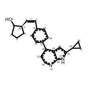 OC1CCC[C@@H]1/C=C\c1ccc(-c2ccnc3[nH]c(C4CC4)cc23)cc1